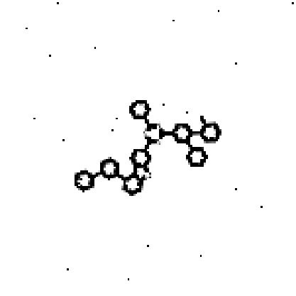 Cc1ccccc1-c1ccc(-c2nc(-c3ccccc3)nc(-c3ccc4c(c3)oc3cccc(-c5cccc(-c6ccccc6)c5)c34)n2)cc1-c1ccccc1